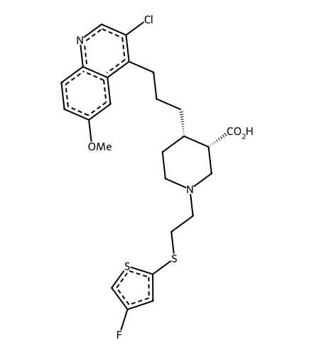 COc1ccc2ncc(Cl)c(CCC[C@H]3CCN(CCSc4cc(F)cs4)C[C@H]3C(=O)O)c2c1